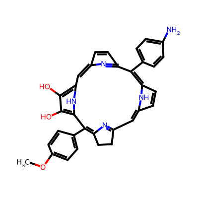 COc1ccc(-c2c3nc(cc4ccc([nH]4)c(-c4ccc(N)cc4)c4nc(cc5[nH]c2c(O)c5O)C=C4)CC3)cc1